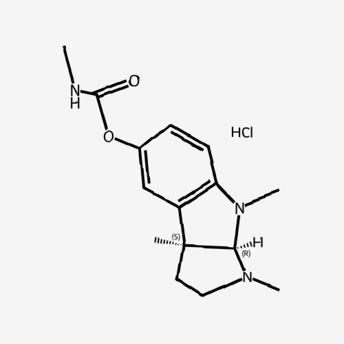 CNC(=O)Oc1ccc2c(c1)[C@]1(C)CCN(C)[C@@H]1N2C.Cl